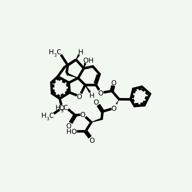 COc1ccc2c3c1O[C@H]1C(OC(=O)[C@@H](OC(=O)C[C@H](OC(C)=O)C(=O)O)c4ccccc4)=CC[C@@]4(O)[C@@H](C2)C(C)CC[C@]314